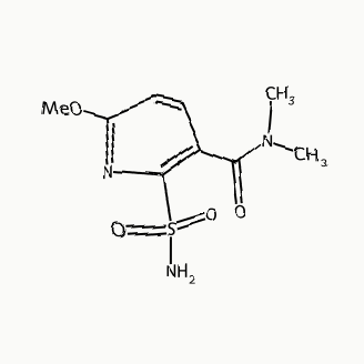 COc1ccc(C(=O)N(C)C)c(S(N)(=O)=O)n1